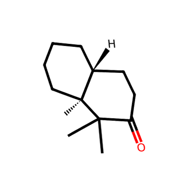 CC1(C)C(=O)CC[C@H]2CCCC[C@@]21C